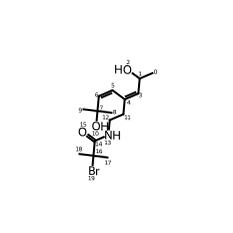 CC(O)/C=C(\C=C/C(C)(C)O)CCNC(=O)C(C)(C)Br